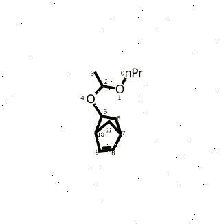 CCCOC(C)OC1CC2C=CC1C2